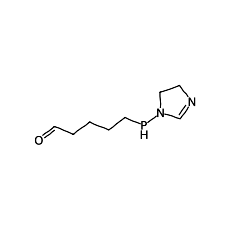 O=CCCCCPN1C=NCC1